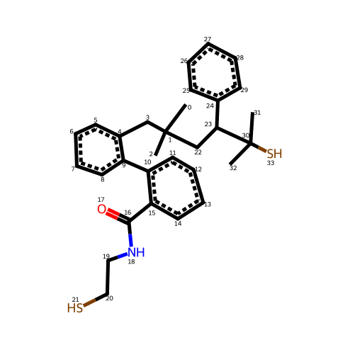 CC(C)(Cc1ccccc1-c1ccccc1C(=O)NCCS)CC(c1ccccc1)C(C)(C)S